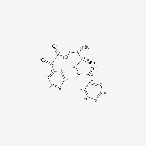 CCCCC(COC(=O)C(=O)c1ccccc1)C(CCCC)COC(=O)c1ccccc1